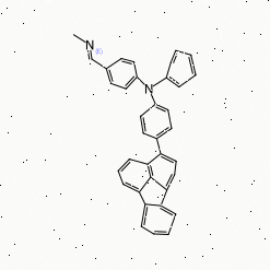 C/N=C/c1ccc(N(c2ccccc2)c2ccc(-c3ccc4c5c(cccc35)-c3ccccc3-4)cc2)cc1